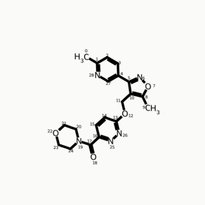 Cc1ccc(-c2noc(C)c2COc2ccc(C(=O)N3CCOCC3)nn2)cn1